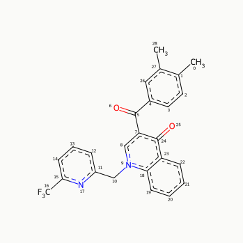 Cc1ccc(C(=O)c2cn(Cc3cccc(C(F)(F)F)n3)c3ccccc3c2=O)cc1C